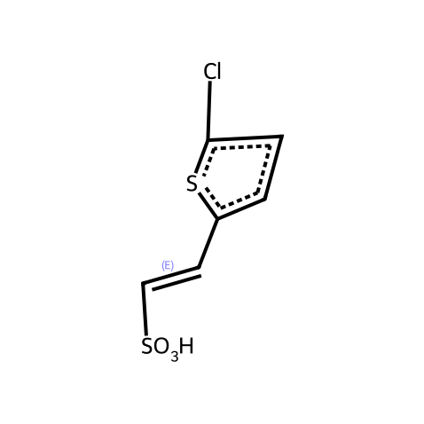 O=S(=O)(O)/C=C/c1ccc(Cl)s1